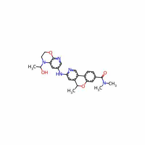 CC1Oc2cc(C(=O)N(C)C)ccc2-c2cnc(Nc3cnc4c(c3)N(C(C)O)CCO4)cc21